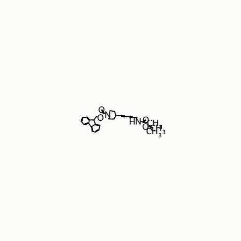 CC(C)(C)OC(=O)NCC#CC#CC1CCN(C(=O)OCC2c3ccccc3-c3ccccc32)CC1